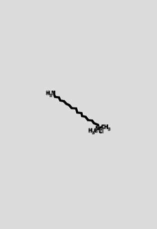 C[Si](C)(Cl)CCCCCCCCCCCCCCCCN